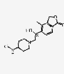 Cc1c([C@@H](O)CN2CCC(NCl)CC2)ccc2c1COC2=O